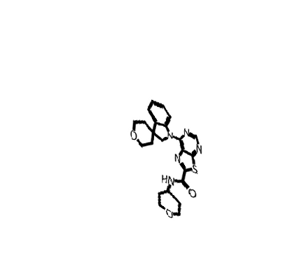 O=C(NC1CCOCC1)c1nc2c(N3CC4(CCOCC4)c4ccccc43)ncnc2s1